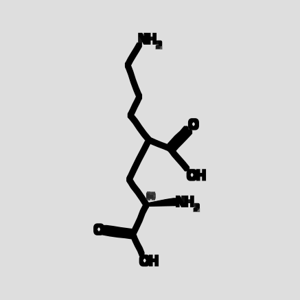 NCCCC(C[C@@H](N)C(=O)O)C(=O)O